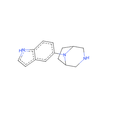 c1cc2cc(N3C4CCC3CNC4)ccc2[nH]1